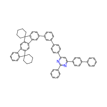 c1ccc(-c2ccc(-c3cc(-c4ccc(-c5cccc(-c6ccc7c(c6)-c6cc8c(cc6C76CCCCC6)-c6ccccc6C86CCCCC6)c5)cc4)nc(-c4ccccc4)n3)cc2)cc1